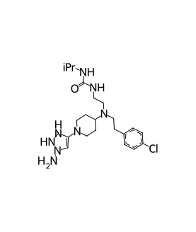 CC(C)NC(=O)NCCN(CCc1ccc(Cl)cc1)C1CCN(C2=CN(N)NN2)CC1